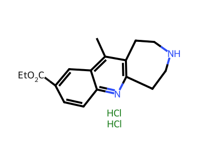 CCOC(=O)c1ccc2nc3c(c(C)c2c1)CCNCC3.Cl.Cl